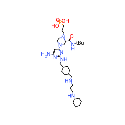 CC(C)(C)NC(=O)[C@@H]1CN(c2cc(N)nc(NCC3CCC(CNCCCNC4CCCCC4)CC3)n2)CCN1CCCP(=O)(O)O